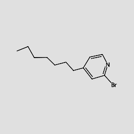 CCCCCCCc1ccnc(Br)c1